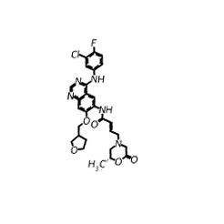 C[C@@H]1CN(C/C=C/C(=O)Nc2cc3c(Nc4ccc(F)c(Cl)c4)ncnc3cc2OCC2CCOC2)CC(=O)O1